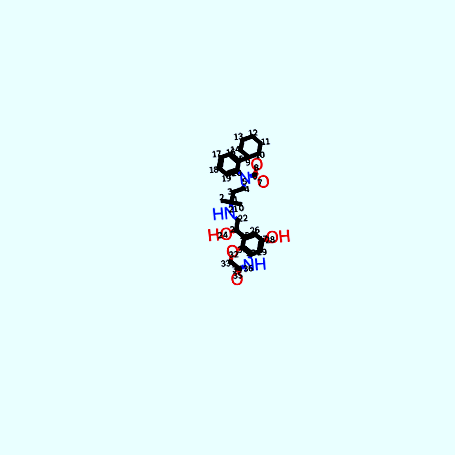 CC(C)(CCN1C(=O)OC2(CCCCC2)c2ccccc21)NCC(O)c1cc(O)cc2c1OCC(=O)N2